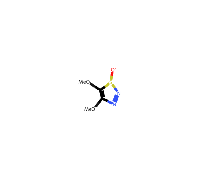 COc1nn[s+]([O-])c1OC